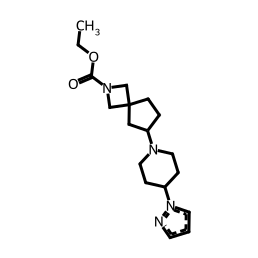 CCOC(=O)N1CC2(CCC(N3CCC(n4cccn4)CC3)C2)C1